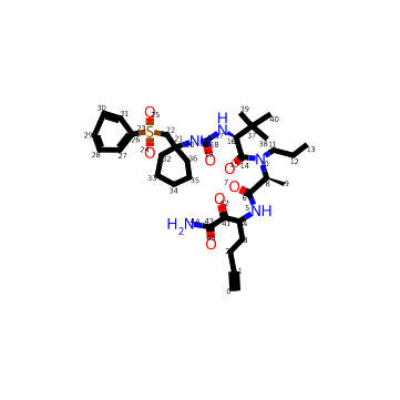 C#CCCC(NC(=O)[C@H](C)N(CCC)C(=O)[C@@H](NC(=O)NC1(CS(=O)(=O)c2ccccc2)CCCCC1)C(C)(C)C)C(=O)C(N)=O